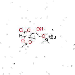 CC1(C)O[C@H]2[C@@H]([C@H](O)CO[Si](C)(C)C(C)(C)C)OC(=O)[C@H]2O1